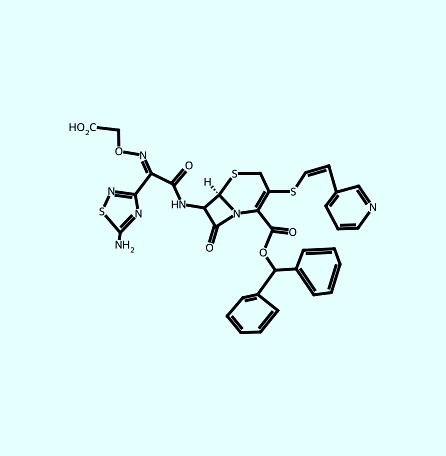 Nc1nc(/C(=N\OCC(=O)O)C(=O)NC2C(=O)N3C(C(=O)OC(c4ccccc4)c4ccccc4)=C(S/C=C\c4cccnc4)CS[C@H]23)ns1